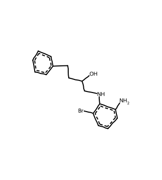 Nc1cccc(Br)c1NCC(O)CCc1ccccc1